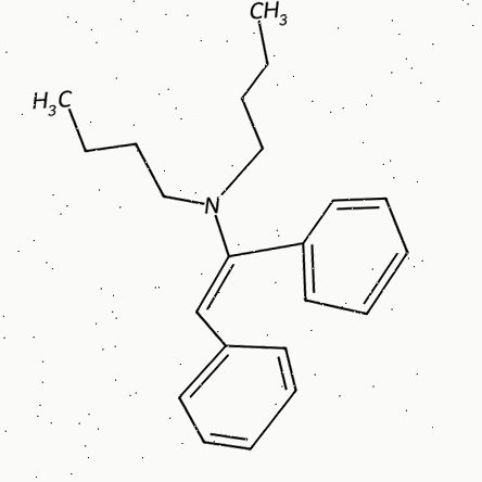 CCCCN(CCCC)/C(=C/c1ccccc1)c1ccccc1